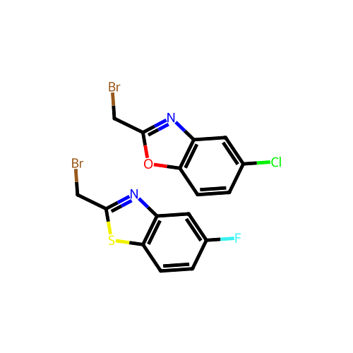 Clc1ccc2oc(CBr)nc2c1.Fc1ccc2sc(CBr)nc2c1